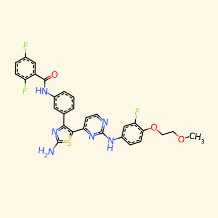 COCCOc1ccc(Nc2nccc(-c3sc(N)nc3-c3cccc(NC(=O)c4cc(F)ccc4F)c3)n2)cc1F